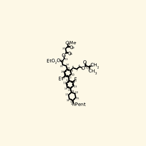 C=C(C)C(=O)OCCCc1cc(-c2ccc(C3CCC(CCCCC)CC3)cc2F)c(CC)cc1CCC(COC(=O)CC(=O)OC)C(=O)OCC